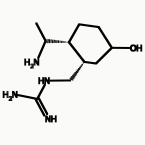 CC(N)[C@@H]1CCC(O)C[C@@H]1CNC(=N)N